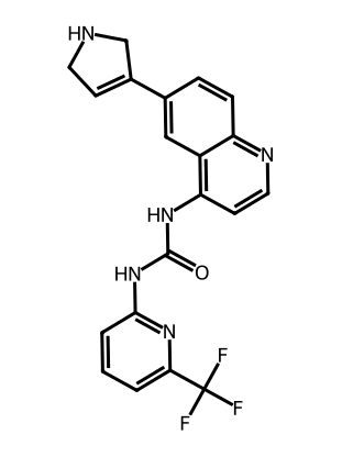 O=C(Nc1cccc(C(F)(F)F)n1)Nc1ccnc2ccc(C3=CCNC3)cc12